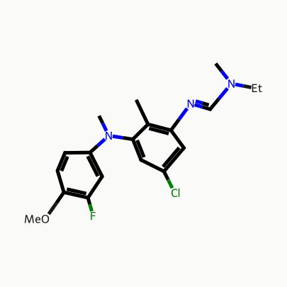 CCN(C)C=Nc1cc(Cl)cc(N(C)c2ccc(OC)c(F)c2)c1C